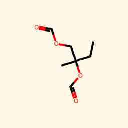 CCC(C)(COC=O)OC=O